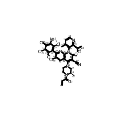 C=CC(=O)N1CCN(c2c(C#N)c(=O)n(-c3c(C)ccnc3C(C)C)c3nc(-c4c(Cl)c(N)c(Cl)c(Cl)c4Cl)c(Cl)cc23)C[C@H]1C